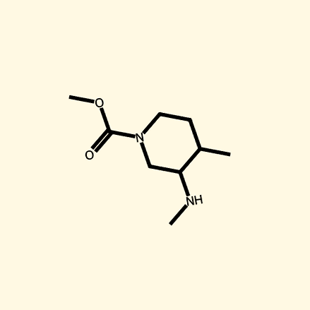 CNC1CN(C(=O)OC)CCC1C